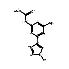 COC(=O)Nc1cc(N)cc(-c2cn(C)nn2)c1